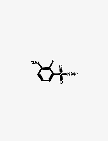 CNS(=O)(=O)c1cccc(C(C)(C)C)c1F